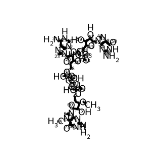 COC1C(COP(=O)(O)OP(=O)(O)OP(=O)(O)OCC2OC(n3cnc4c3N=CNC4N)C(OC)C2OP(=O)(O)OCC2OC(n3cnc4c(=O)[nH]c(N)nc43)C(O)C2O)OC(N2CN(C)c3c2nc(N)[nH]c3=O)C1O